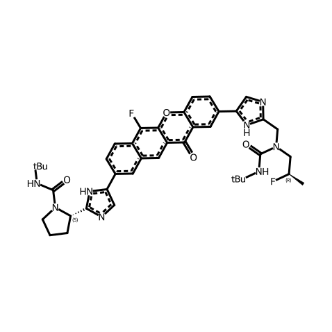 C[C@@H](F)CN(Cc1ncc(-c2ccc3oc4c(F)c5ccc(-c6cnc([C@@H]7CCCN7C(=O)NC(C)(C)C)[nH]6)cc5cc4c(=O)c3c2)[nH]1)C(=O)NC(C)(C)C